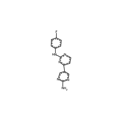 Nc1ncc(-c2ccnc(Nc3ccc(F)cc3)n2)cn1